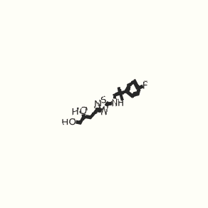 CC(C)(CNc1nc(CC(O)CO)ns1)c1ccc(F)cc1